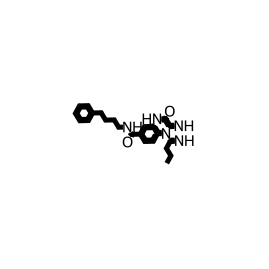 CCCC(=N)n1c(=N)c(=O)[nH]c2cc(C(=O)NCCCCc3ccccc3)ccc21